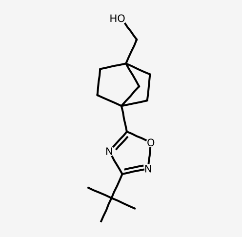 CC(C)(C)c1noc(C23CCC(CO)(CC2)C3)n1